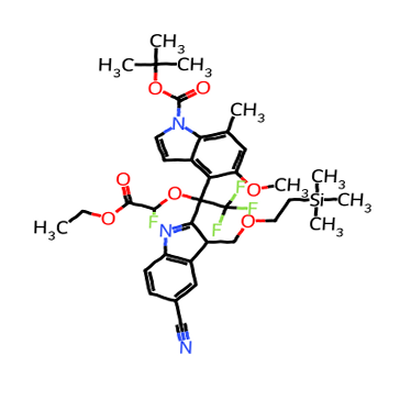 CCOC(=O)C(F)OC(C1=Nc2ccc(C#N)cc2C1COCC[Si](C)(C)C)(c1c(OC)cc(C)c2c1ccn2C(=O)OC(C)(C)C)C(F)(F)F